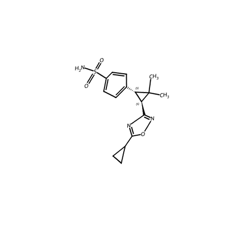 CC1(C)[C@@H](c2ccc(S(N)(=O)=O)cc2)[C@@H]1c1noc(C2CC2)n1